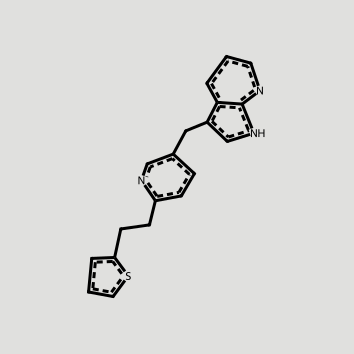 c1csc(CCc2ccc(Cc3c[nH]c4ncccc34)cn2)c1